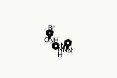 CN(C)c1nc(N[C@H]2CC[C@@H](CNC(=O)c3ccc(Br)cc3)CC2)nc2c1CCCC2